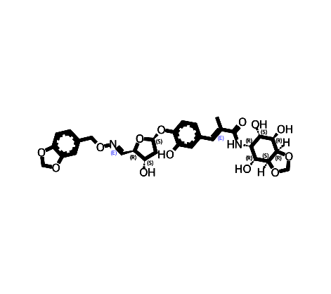 C/C(=C\c1ccc(O[C@H]2C[C@H](O)[C@@H](/C=N/OCc3ccc4c(c3)OCO4)O2)c(O)c1)C(=O)N[C@@H]1[C@H](O)[C@@H](O)[C@H]2OCO[C@H]2[C@@H]1O